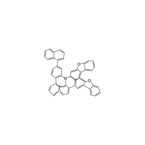 c1ccc(-c2ccc(-c3cccc4ccccc34)cc2N(c2ccc3c(c2)oc2ccccc23)c2ccccc2-c2ccc3oc4ccccc4c3c2)cc1